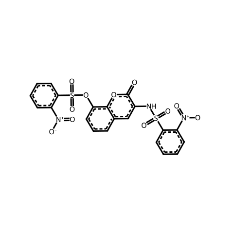 O=c1oc2c(OS(=O)(=O)c3ccccc3[N+](=O)[O-])cccc2cc1NS(=O)(=O)c1ccccc1[N+](=O)[O-]